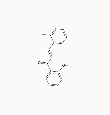 COc1ccccc1C(=O)/C=C/c1ccccc1C